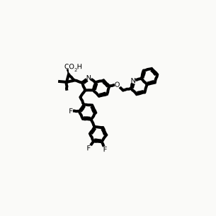 CC1(C)C(C2=Nc3cc(OCc4ccc5ccccc5n4)ccc3C2Cc2ccc(-c3ccc(F)c(F)c3)cc2F)[C@@H]1C(=O)O